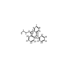 CCCCOc1ccccc1[C](c1ccccc1)c1ccccc1